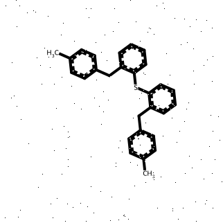 Cc1ccc(Cc2ccccc2Sc2ccccc2Cc2ccc(C)cc2)cc1